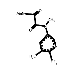 CNC(=O)C(=O)N(C)c1cnc(C(F)(F)F)c(C)c1